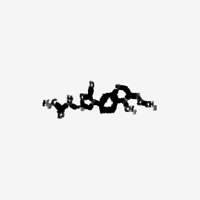 CON=C1CSc2cc(N3C[C@H](CNC(C)=O)OC3=O)ccc2N1C